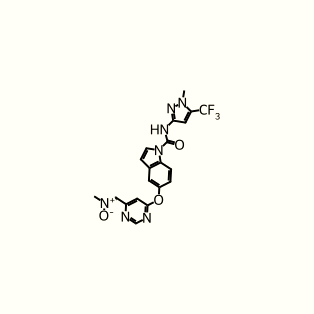 Cn1nc(NC(=O)n2ccc3cc(Oc4cc(/C=[N+](/C)[O-])ncn4)ccc32)cc1C(F)(F)F